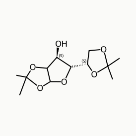 CC1(C)OC2OC([C@@H]3COC(C)(C)O3)[C@H](O)C2O1